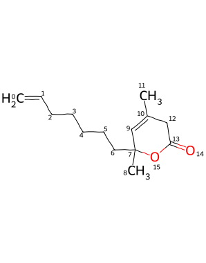 C=CCCCCCC1(C)C=C(C)CC(=O)O1